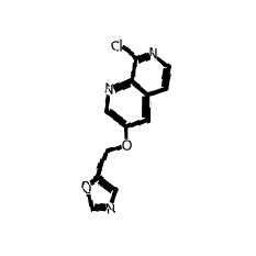 Clc1nccc2cc(OCc3cnco3)cnc12